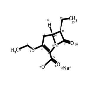 CCSC1=C(C(=O)[O-])N2C(=O)[C@H](CC)[C@H]2C1.[Na+]